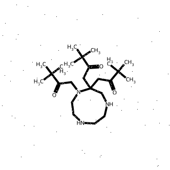 CC(C)(C)C(=O)CN1CCNCCNCC1(CC(=O)C(C)(C)C)CC(=O)C(C)(C)C